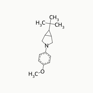 COc1ccc(N2CC3C(C2)C3C(C)(C)C)cc1